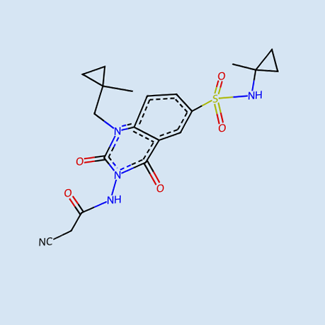 CC1(Cn2c(=O)n(NC(=O)CC#N)c(=O)c3cc(S(=O)(=O)NC4(C)CC4)ccc32)CC1